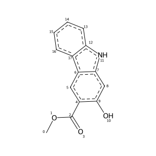 COC(=O)c1cc2c(cc1O)[nH]c1ccccc12